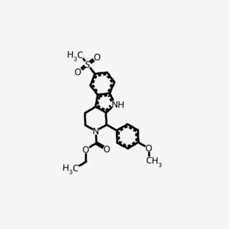 CCOC(=O)N1CCc2c([nH]c3ccc(S(C)(=O)=O)cc23)C1c1ccc(OC)cc1